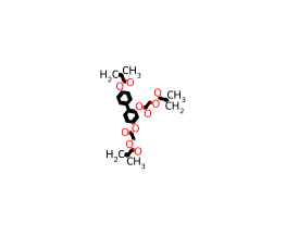 C=C(C)C(=O)OCC(=O)Oc1ccc(-c2ccc(OC(=O)C(=C)C)cc2)c(OC(=O)COC(=O)C(=C)C)c1